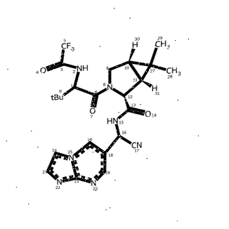 CC(C)(C)C(NC(=O)C(F)(F)F)C(=O)N1C[C@H]2[C@@H]([C@H]1C(=O)NC(C#N)c1cnc3nccn3c1)C2(C)C